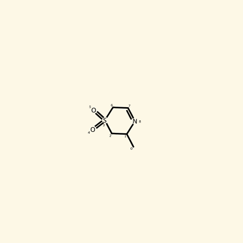 CC1CS(=O)(=O)CC=N1